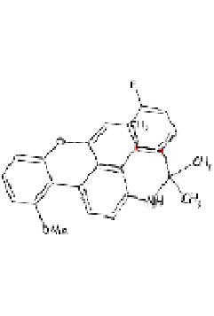 COc1cccc2c1-c1ccc3c(c1/C(=C\c1ccccc1F)O2)C(C)=CC(C)(C)N3